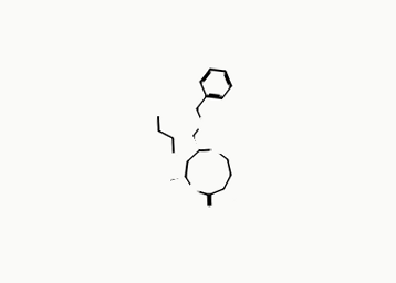 CCCC[C@H]1[C@H](C)OC(=O)[C@@H](C)CCO[C@@H]1COCc1ccccc1